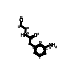 Nc1cccc(CC(=O)NCCCl)c1